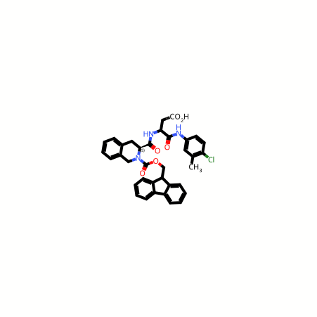 Cc1cc(NC(=O)C(CC(=O)O)NC(=O)[C@@H]2Cc3ccccc3CN2C(=O)OCC2c3ccccc3-c3ccccc32)ccc1Cl